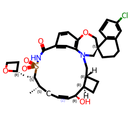 C[C@H]1C/C=C\[C@H](O)[C@@H]2CC[C@H]2CN2C[C@@]3(CCCc4cc(Cl)ccc43)COc3ccc(cc32)C(=O)NS(=O)(=O)[C@H]1C[C@H]1CCO1